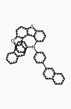 c1ccc(N(c2ccc(-c3ccc4ccccc4c3)cc2)c2cccc3sc4ccc5oc6c7ccccc7ccc6c5c4c23)cc1